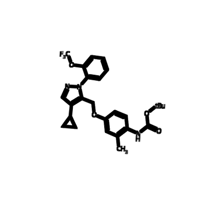 Cc1cc(OCc2c(C3CC3)cnn2-c2ccccc2OC(F)(F)F)ccc1NC(=O)OC(C)(C)C